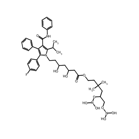 CC(C)c1c(C(=O)Nc2ccccc2)c(-c2ccccc2)c(-c2ccc(F)cc2)n1CCC(O)CC(O)CC(=O)OCCC(C)(C)CC(CON(O)O)ON(O)O